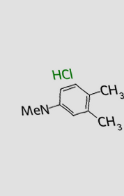 CNc1ccc(C)c(C)c1.Cl